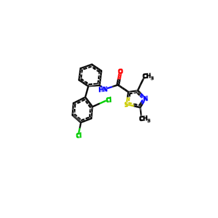 Cc1nc(C)c(C(=O)Nc2ccccc2-c2ccc(Cl)cc2Cl)s1